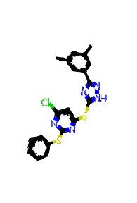 Cc1cc(C)cc(-c2n[nH]c(Sc3cc(Cl)nc(Sc4ccccc4)n3)n2)c1